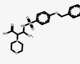 CC(NS(=O)(=O)c1ccc(OCc2ccccc2)cc1)C(C(=O)O)N1CCOCC1